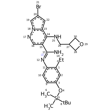 CCc1cc(O[Si](C)(C)C(C)(C)C)ccc1/N=C(\N)c1cnn2cc(Br)cc2c1NCC1COC1